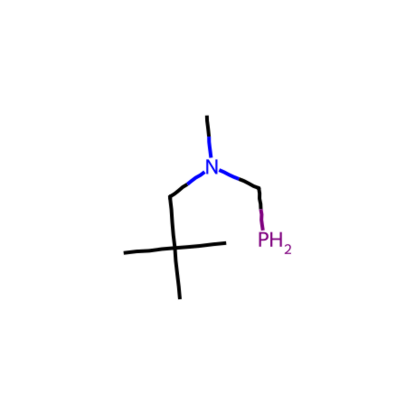 CN(CP)CC(C)(C)C